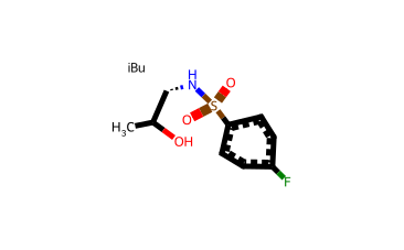 CC[C@H](C)[C@H](NS(=O)(=O)c1ccc(F)cc1)C(C)O